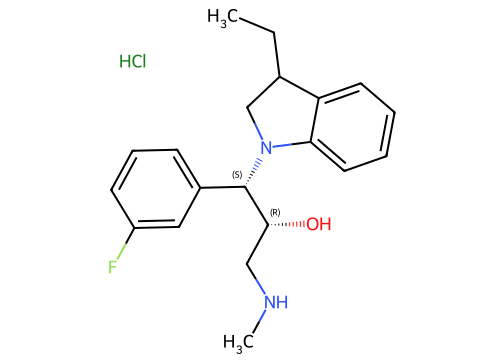 CCC1CN([C@@H](c2cccc(F)c2)[C@H](O)CNC)c2ccccc21.Cl